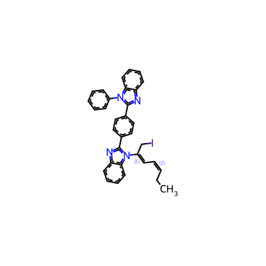 CC/C=C\C=C(/CI)n1c(-c2ccc(-c3nc4ccccc4n3-c3ccccc3)cc2)nc2ccccc21